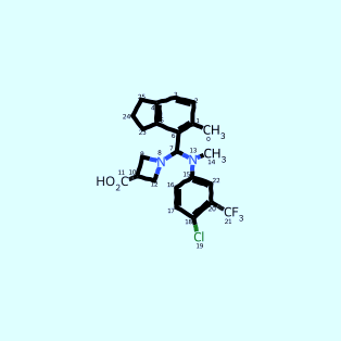 Cc1ccc2c(c1C(N1CC(C(=O)O)C1)N(C)c1ccc(Cl)c(C(F)(F)F)c1)CCC2